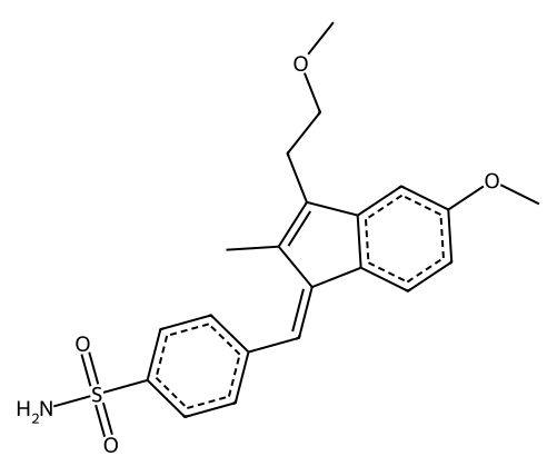 COCCC1=C(C)C(=Cc2ccc(S(N)(=O)=O)cc2)c2ccc(OC)cc21